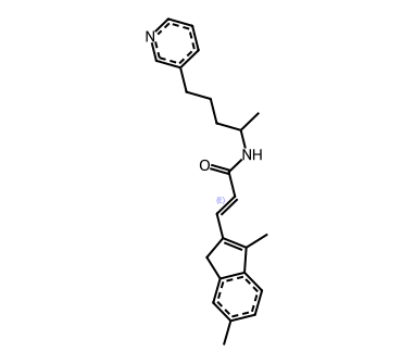 CC1=C(/C=C/C(=O)NC(C)CCCc2cccnc2)Cc2cc(C)ccc21